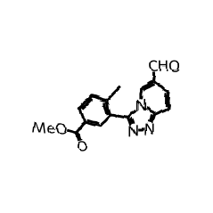 COC(=O)c1ccc(C)c(-c2nnc3ccc(C=O)cn23)c1